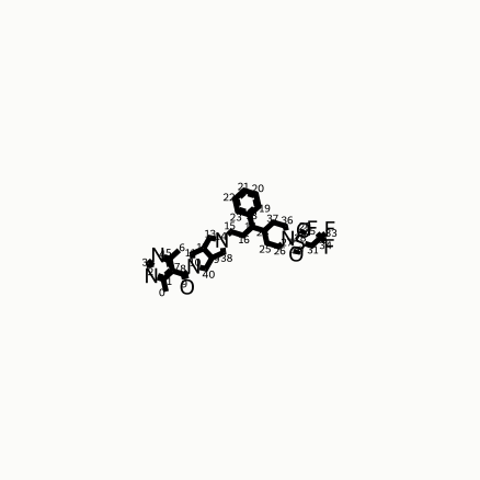 Cc1ncnc(C)c1C(=O)N1CC2CN(CCC(c3ccccc3)C3CCN(S(=O)(=O)CC(F)(F)F)CC3)CC2C1